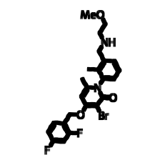 COCCNCc1cccc(-n2c(C)cc(OCc3ccc(F)cc3F)c(Br)c2=O)c1C